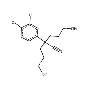 N#CC(CCCO)(CCCO)c1ccc(Cl)c(Cl)c1